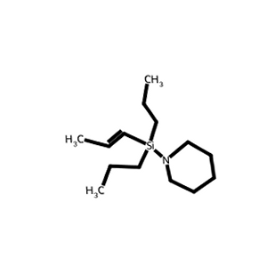 CC=C[Si](CCC)(CCC)N1CCCCC1